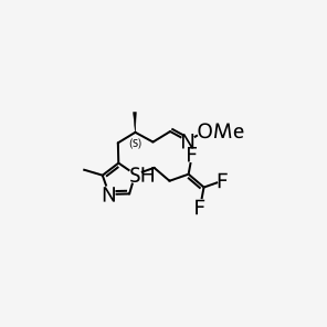 CON=CC[C@H](C)CC1=C(C)N=C[SH]1CCC(F)=C(F)F